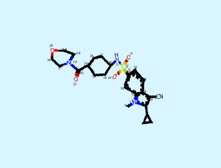 Cn1c(C2CC2)c(C#N)c2ccc(S(=O)(=O)NC3CCC(C(=O)N4CCOCC4)CC3)cc21